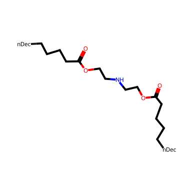 CCCCCCCCCCCCCCC(=O)OCCNCCOC(=O)CCCCCCCCCCCCCC